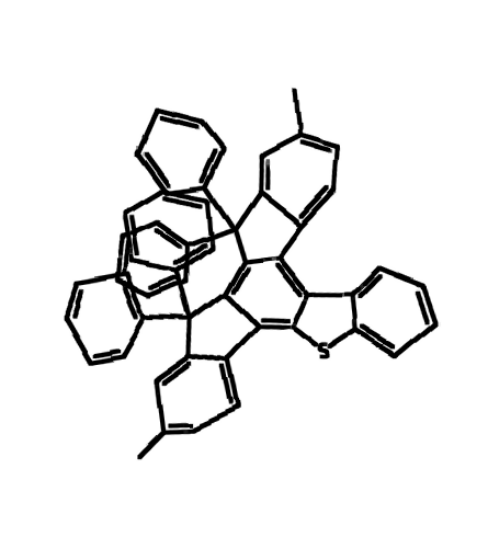 Cc1ccc2c(c1)C(c1ccccc1)(c1ccccc1)c1c3c(c4c(sc5ccccc54)c1-2)-c1ccc(C)cc1C3(c1ccccc1)c1ccccc1